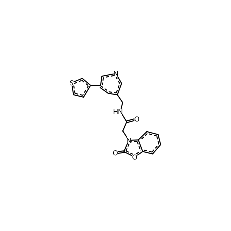 O=C(Cn1c(=O)oc2ccccc21)NCc1cncc(-c2ccsc2)c1